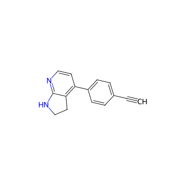 C#Cc1ccc(-c2ccnc3c2CCN3)cc1